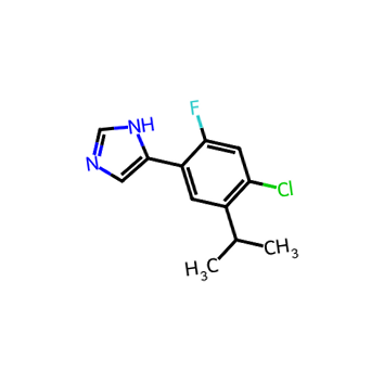 CC(C)c1cc(-c2cnc[nH]2)c(F)cc1Cl